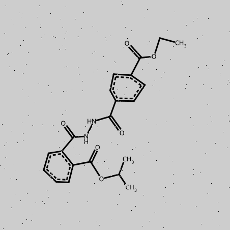 CCOC(=O)c1ccc(C(=O)NNC(=O)c2ccccc2C(=O)OC(C)C)cc1